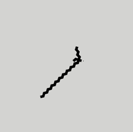 [CH2]C(CC)(CCCCC)CCCCCCCCCCCCCCCCCCCC